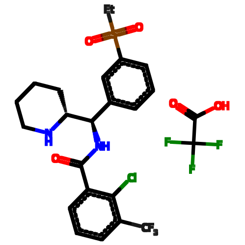 CCS(=O)(=O)c1cccc([C@@H](NC(=O)c2cccc(C(F)(F)F)c2Cl)[C@H]2CCCCN2)c1.O=C(O)C(F)(F)F